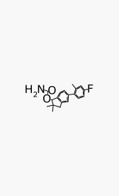 Cc1cc(F)ccc1-c1ccc2c(c1)CC(C)(C)C2OC(N)=O